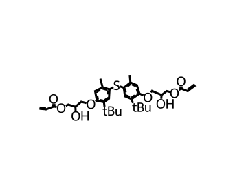 C=CC(=O)OCC(O)COc1cc(C)c(Sc2cc(C(C)(C)C)c(OCC(O)COC(=O)C=C)cc2C)cc1C(C)(C)C